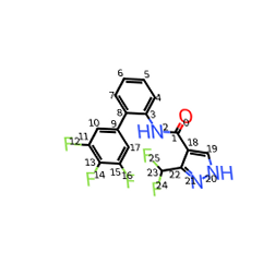 O=C(Nc1ccccc1-c1cc(F)c(F)c(F)c1)c1c[nH]nc1C(F)F